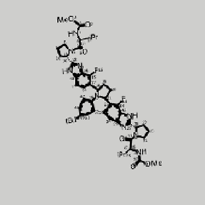 COC(=O)N[C@H](C(=O)N1CCC[C@H]1c1nc2c(F)c(C3CCC(c4ccc5nc([C@@H]6CCCN6C(=O)[C@@H](NC(=O)OC)C(C)C)[nH]c5c4F)N3c3ccc(C(C)(C)C)cc3)ccc2[nH]1)C(C)C